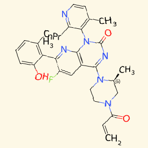 C=CC(=O)N1CCN(c2nc(=O)n(-c3c(C)ccnc3CCC)c3nc(-c4c(C)cccc4O)c(F)cc23)[C@@H](C)C1